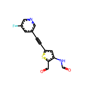 O=CNc1cc(C#Cc2cncc(F)c2)sc1C=O